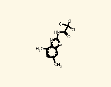 Cc1cc(C)c2nc(NC(=O)C(Cl)(Cl)Cl)sc2c1